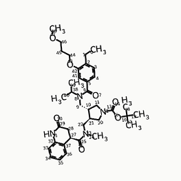 CCc1ccc(C(=O)N(C[C@@H]2CN(C(=O)OC(C)(C)C)C[C@H]2CN(C)C(=O)[C@@H]2CC(=O)Nc3ccccc32)C(C)C)cc1OCCCOC